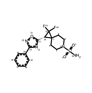 NS(=O)(=O)N1CCC2(CC1)[C@H](c1nc(-c3ccccc3)no1)C2(F)F